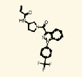 C=CC(=O)NC1CCN(C(=O)c2nn(-c3ccc(C(F)(F)F)cc3)c3ccccc23)C1